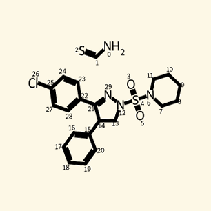 NC=S.O=S(=O)(N1CCCCC1)N1CC(c2ccccc2)C(c2ccc(Cl)cc2)=N1